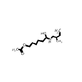 CCC(C)CNC(O)CCCCCOC(C)=O